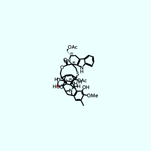 COc1c(C)cc2c(c1O)[C@H]1[C@@H]3[C@@H]4SC[C@]5(N[C@H](COC(C)=O)Cc6c5[nH]c5ccccc65)C(=O)OC[C@@H](c5c6c(c(C)c(OC(C)=O)c54)OCO6)N3[C@@H](O)C(C2)N1C